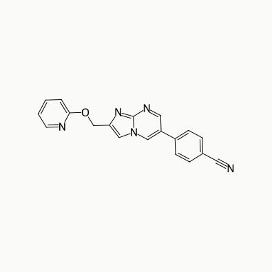 N#Cc1ccc(-c2cnc3nc(COc4ccccn4)cn3c2)cc1